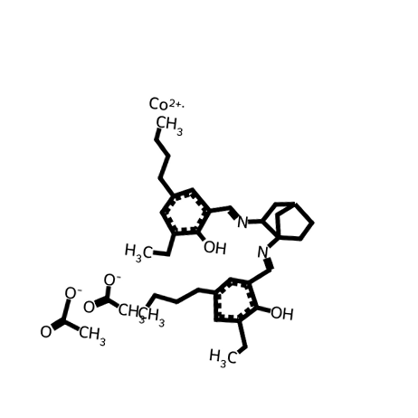 CC(=O)[O-].CC(=O)[O-].CCCCc1cc(C=NC2CC3CCC2(N=Cc2cc(CCCC)cc(CC)c2O)C3)c(O)c(CC)c1.[Co+2]